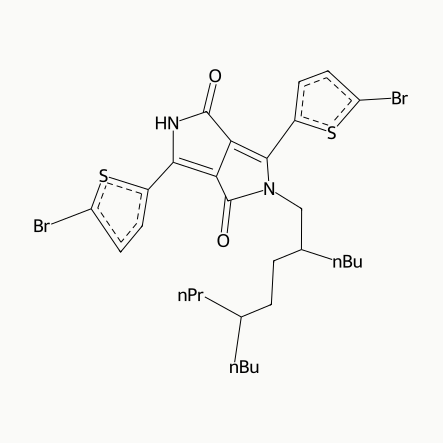 CCCCC(CCC)CCC(CCCC)CN1C(=O)C2=C(c3ccc(Br)s3)NC(=O)C2=C1c1ccc(Br)s1